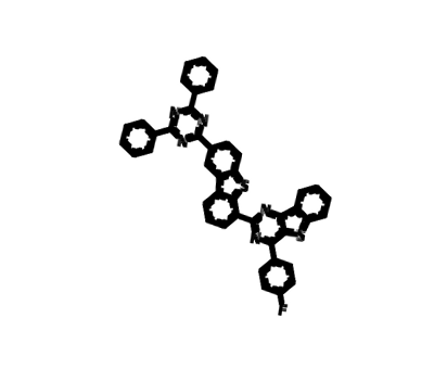 Fc1ccc(-c2nc(-c3cccc4c3sc3ccc(-c5nc(-c6ccccc6)nc(-c6ccccc6)n5)cc34)nc3c2sc2ccccc23)cc1